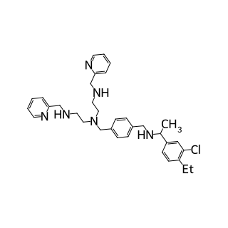 CCc1ccc(C(C)NCc2ccc(CN(CCNCc3ccccn3)CCNCc3ccccn3)cc2)cc1Cl